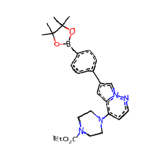 CCOC(=O)N1CCN(c2ccnn3cc(-c4ccc(B5OC(C)(C)C(C)(C)O5)cc4)cc23)CC1